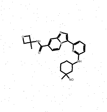 CC1(N=O)CCCC(Nc2cccc(-c3cnc4cc(C(=O)NC5(C)COC5)ccn34)n2)C1